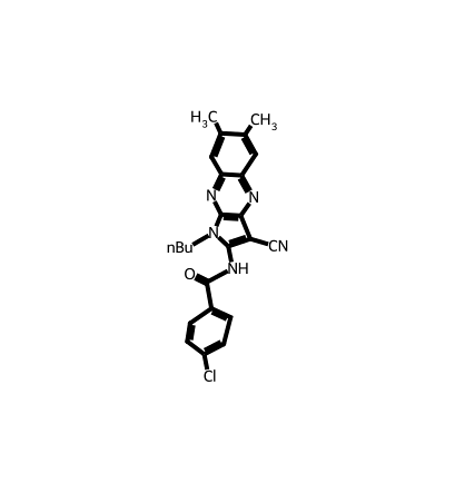 CCCCn1c(NC(=O)c2ccc(Cl)cc2)c(C#N)c2nc3cc(C)c(C)cc3nc21